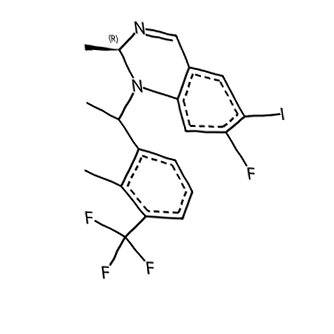 Cc1c(C(C)N2c3cc(F)c(I)cc3C=N[C@@H]2C)cccc1C(F)(F)F